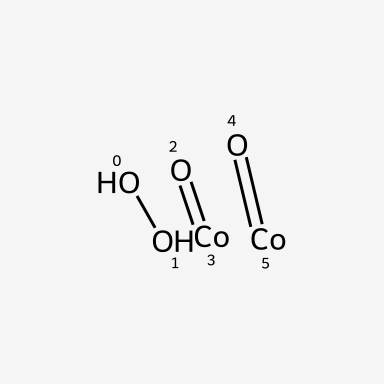 OO.[O]=[Co].[O]=[Co]